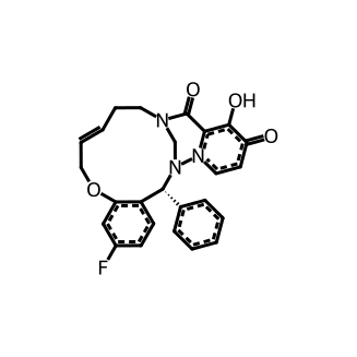 O=C1c2c(O)c(=O)ccn2N2CN1CC/C=C/COc1cc(F)ccc1[C@H]2c1ccccc1